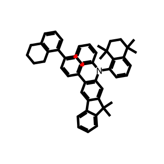 CC1(C)CCC(C)(C)c2c(N(c3ccccc3)c3cc4c(cc3-c3ccc(-c5cccc6c5CCCC6)cc3)-c3ccccc3C4(C)C)cccc21